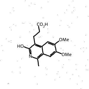 COc1cc2c(C)nc(O)c(CCC(=O)O)c2cc1OC